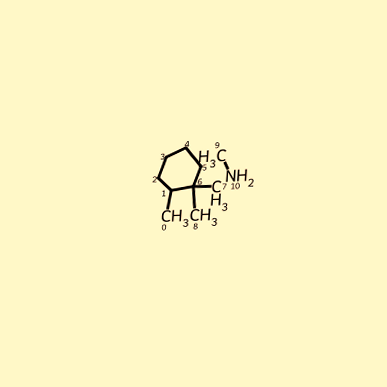 CC1CCCCC1(C)C.CN